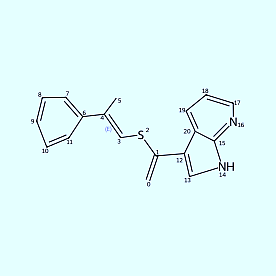 C=C(S/C=C(\C)c1ccccc1)c1c[nH]c2ncccc12